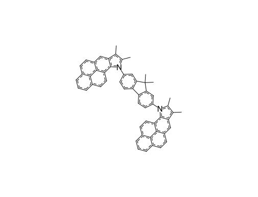 Cc1c(C)n(-c2ccc3c(c2)C(C)(C)c2cc(-n4c(C)c(C)c5cc6ccc7cccc8ccc(c6c78)c54)ccc2-3)c2c1cc1ccc3cccc4ccc2c1c34